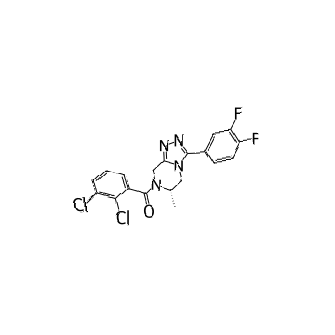 C[C@H]1Cn2c(nnc2-c2ccc(F)c(F)c2)CN1C(=O)c1cccc(Cl)c1Cl